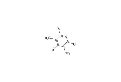 CCc1cc(CC)c([AsH2])c(CC)c1[AsH2]